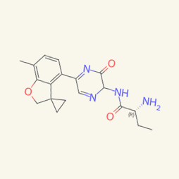 CC[C@@H](N)C(=O)NC1N=CC(c2ccc(C)c3c2C2(CC2)CO3)=NC1=O